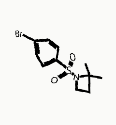 CC1(C)CCN1S(=O)(=O)c1ccc(Br)cc1